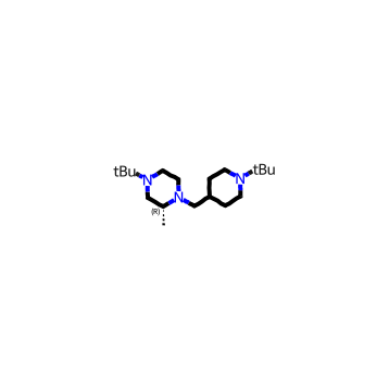 C[C@@H]1CN(C(C)(C)C)CCN1CC1CCN(C(C)(C)C)CC1